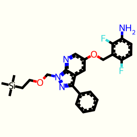 C[Si](C)(C)CCOCn1nc(-c2ccccc2)c2cc(OCc3c(F)ccc(N)c3F)cnc21